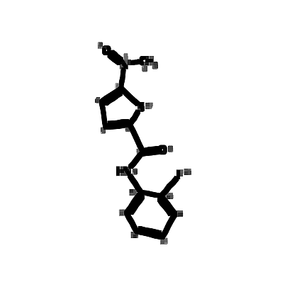 C[N+](=O)c1ccc(C(=O)Nc2ccccc2F)s1